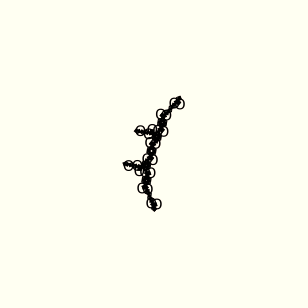 C=CC(=O)OCCCCOC(=O)c1ccc(C(=O)Oc2ccc(OC(=O)C3CCC(C(=O)Oc4ccc(OC(=O)c5ccc(C(=O)OCCCCOC(=O)C=C)cc5)c(C(=O)OCCOCC)c4)CC3)cc2C(=O)OCCOCC)cc1